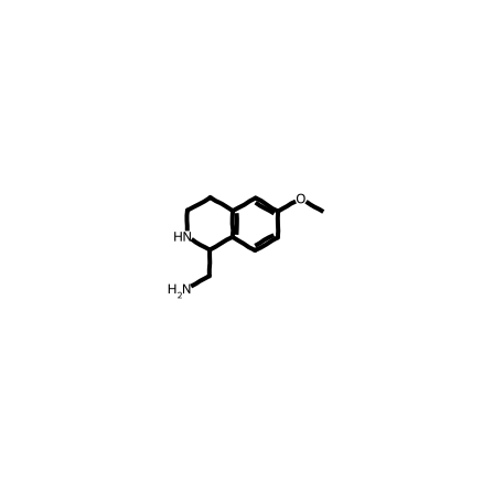 COc1ccc2c(c1)CCNC2CN